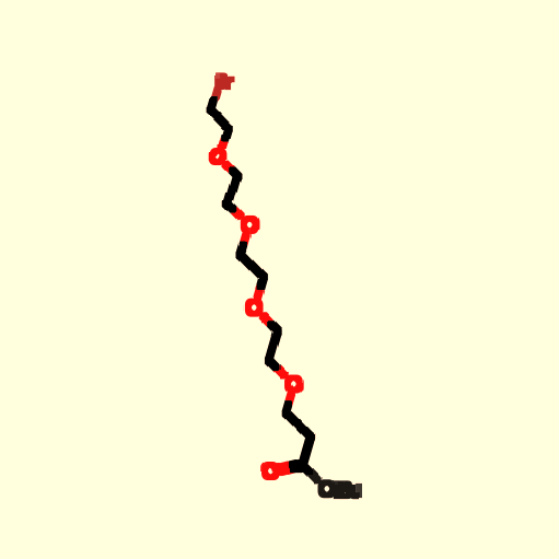 CC(C)COC(=O)CCOCCOCCOCCOCCBr